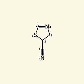 N#CC1CN=[C]S1